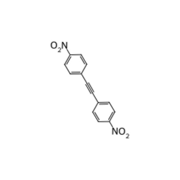 O=[N+]([O-])c1ccc(C#Cc2ccc([N+](=O)[O-])cc2)cc1